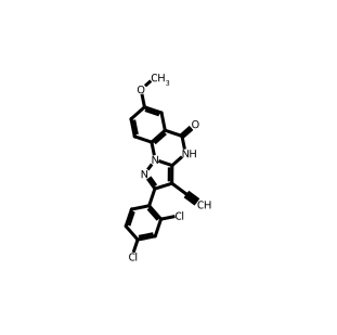 C#Cc1c(-c2ccc(Cl)cc2Cl)nn2c1[nH]c(=O)c1cc(OC)ccc12